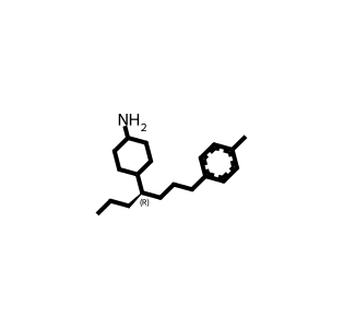 CCC[C@H](CCCc1ccc(C)cc1)C1CCC(N)CC1